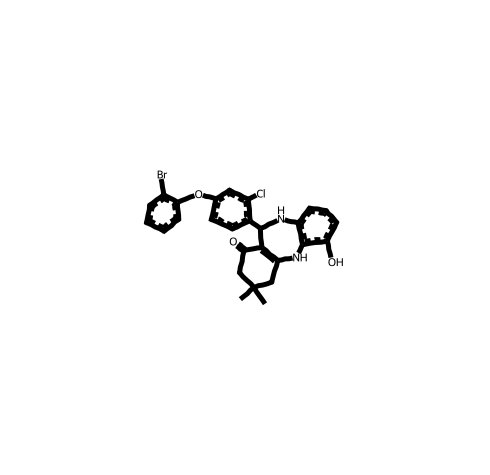 CC1(C)CC(=O)C2=C(C1)Nc1c(O)cccc1NC2c1ccc(Oc2ccccc2Br)cc1Cl